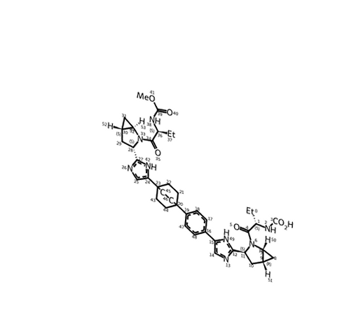 CC[C@H](NC(=O)O)C(=O)N1[C@@H]2C[C@@H]2C[C@H]1c1ncc(-c2ccc(C34CCC(c5cnc([C@@H]6C[C@@H]7C[C@H]7N6C(=O)[C@H](CC)NC(=O)OC)[nH]5)(CC3)CC4)cc2)[nH]1